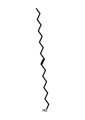 CCCCCCCCC/C=C/CCCCCCCO